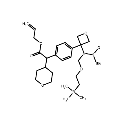 C=CCOC(=O)C(c1ccc(C2(N(COCC[Si](C)(C)C)[S+]([O-])C(C)(C)C)COC2)cc1)C1CCOCC1